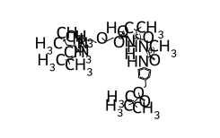 CC(C)[C@H](NC(=O)OCCOCCn1nc(CC(C)(C)C)c(CC(C)(C)C)n1)C(=O)N[C@@H](C)C(=O)Nc1ccc(COC(=O)C(C)(C)C)cc1